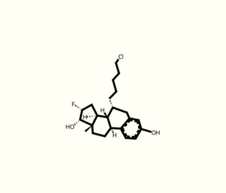 C[C@]12CC[C@@H]3c4ccc(O)cc4C[C@@H](CCCCCCl)[C@H]3[C@@H]1C[C@@H](F)[C@H]2O